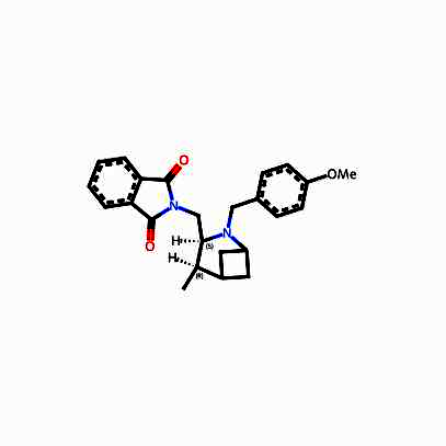 COc1ccc(CN2C3CC(C3)[C@@H](C)[C@H]2CN2C(=O)c3ccccc3C2=O)cc1